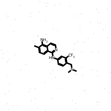 Cc1ccc2c(Nc3ccc(CN(C)C)c(C(F)(F)F)c3)nccc2c1N